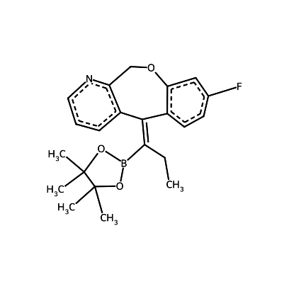 CC/C(B1OC(C)(C)C(C)(C)O1)=C1\c2ccc(F)cc2OCc2ncccc21